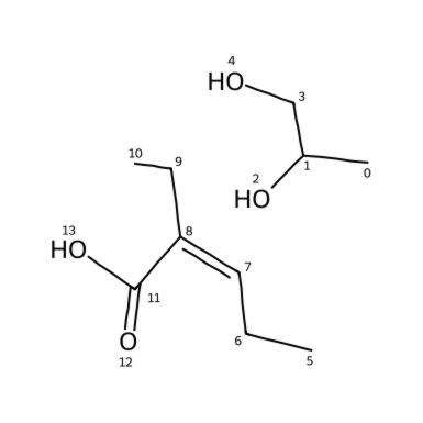 CC(O)CO.CCC=C(CC)C(=O)O